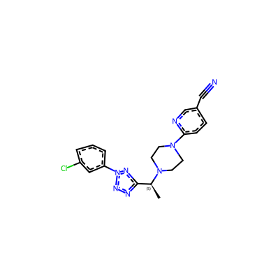 C[C@@H](c1nnn(-c2cccc(Cl)c2)n1)N1CCN(c2ccc(C#N)cn2)CC1